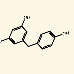 Oc1ccc(Cc2cc(O)cc(O)c2)cc1